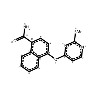 CSc1nccc(Oc2ccc(C(N)=O)c3ccccc23)n1